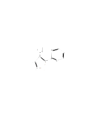 Cc1c[c]sc1-c1ccccc1